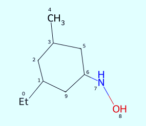 CCC1CC(C)CC(NO)C1